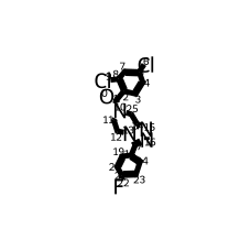 O=C(c1ccc(Cl)cc1Cl)N1CCn2c(nnc2-c2ccc(F)cc2)C1